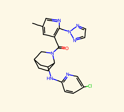 Cc1cnc(-n2nccn2)c(C(=O)N2CC3CCC2C(Nc2ccc(Cl)cn2)C3)c1